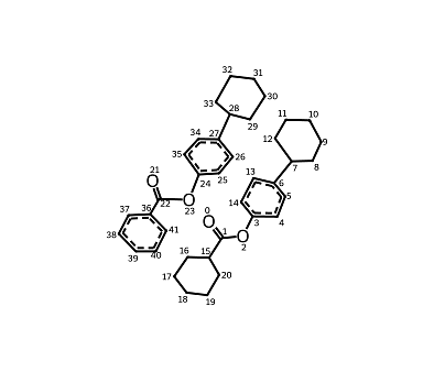 O=C(Oc1ccc(C2CCCCC2)cc1)C1CCCCC1.O=C(Oc1ccc(C2CCCCC2)cc1)c1ccccc1